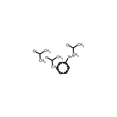 CC(C)[O-].CC(C)[O-].CC(C)[O-].[Sn+3][c]1ccccc1